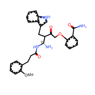 COc1ccccc1CCC(=O)N[C@@H](N)C(Cc1c[nH]c2ccccc12)C(=O)COc1ccccc1C(N)=O